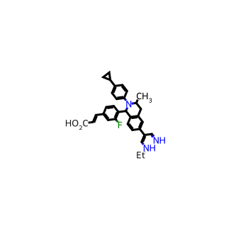 CCN/C=C(\C=N)c1ccc2c(c1)CC(C)N(c1ccc(C3CC3)cc1)C2c1ccc(/C=C/C(=O)O)cc1F